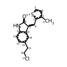 Cc1ccsc1C=C1C(=O)Nc2ccc(CCCl)cc21